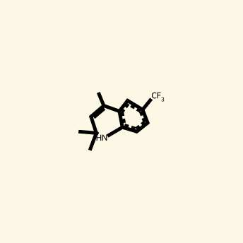 CC1=CC(C)(C)Nc2ccc(C(F)(F)F)cc21